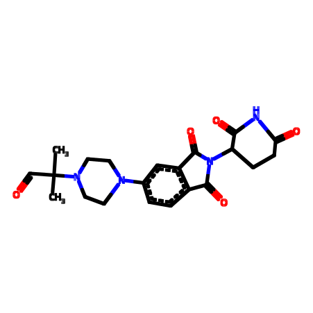 CC(C)(C=O)N1CCN(c2ccc3c(c2)C(=O)N(C2CCC(=O)NC2=O)C3=O)CC1